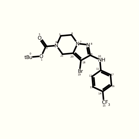 CC(C)(C)OC(=O)N1CCn2nc(Nc3ccc(C(F)(F)F)cc3)c(Br)c2C1